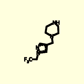 FC(F)(F)Cn1cc(CN2CCNCC2)cn1